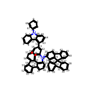 c1ccc(-n2c3ccccc3c3c(-c4cccc(N(c5ccc6c(c5)C5(c7ccccc7-c7ccccc75)c5ccccc5-6)c5cccc6c7ccccc7c7ccccc7c56)c4)cccc32)cc1